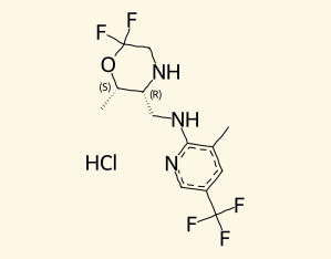 Cc1cc(C(F)(F)F)cnc1NC[C@H]1NCC(F)(F)O[C@H]1C.Cl